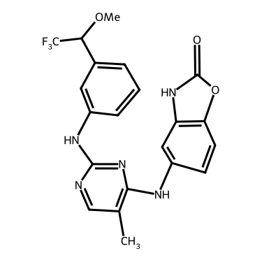 COC(c1cccc(Nc2ncc(C)c(Nc3ccc4oc(=O)[nH]c4c3)n2)c1)C(F)(F)F